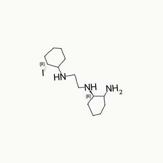 NC1CCCC[C@H]1NCCNC1CCCC[C@H]1I